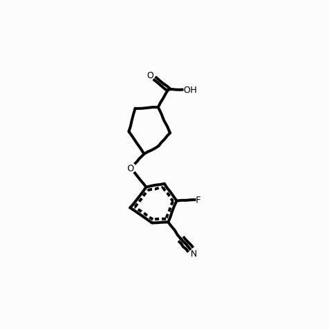 N#Cc1ccc(OC2CCC(C(=O)O)CC2)cc1F